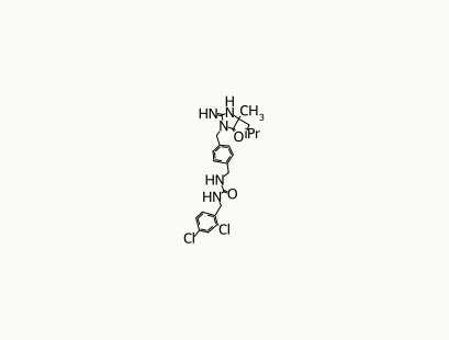 CC(C)CC1(C)NC(=N)N(Cc2ccc(CNC(=O)NCc3ccc(Cl)cc3Cl)cc2)C1=O